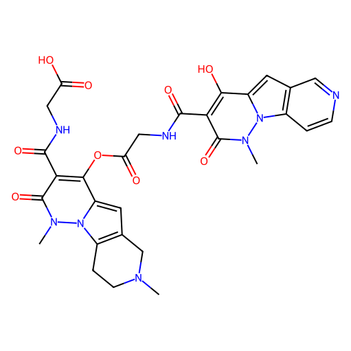 CN1CCc2c(cc3c(OC(=O)CNC(=O)c4c(O)c5cc6cnccc6n5n(C)c4=O)c(C(=O)NCC(=O)O)c(=O)n(C)n23)C1